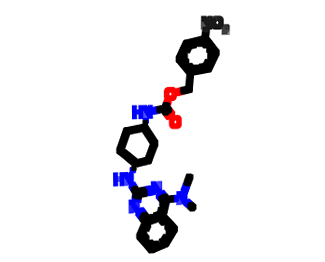 CN(C)c1nc(N[C@H]2CC[C@@H](NC(=O)OCc3ccc([N+](=O)[O-])cc3)CC2)nc2ccccc12